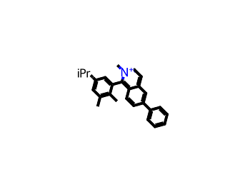 Cc1cc(C(C)C)cc(-c2c3ccc(-c4ccccc4)cc3cc[n+]2C)c1C